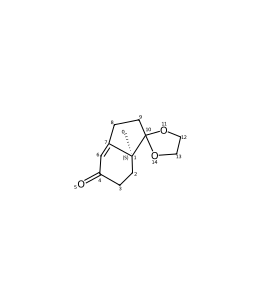 C[C@]12CCC(=O)C=C1CCC21OCCO1